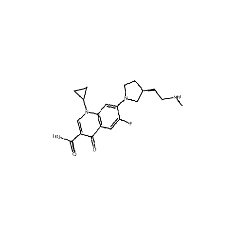 CNCC[C@@H]1CCN(c2cc3c(cc2F)c(=O)c(C(=O)O)cn3C2CC2)C1